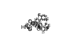 O=C(O)[C@@]1(C[C@H]2CN(S(=O)(=O)c3cccc(C(F)(F)F)c3)c3cc(-c4cc(F)ccc4F)ccc3O2)CCNC1=O